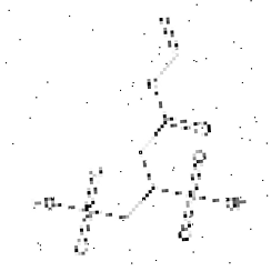 C=COC(=O)CC(CS(=O)(=O)O)S(=O)(=O)O